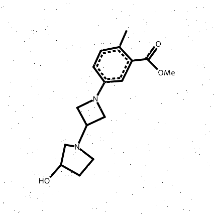 COC(=O)c1cc(N2CC(N3CCC(O)C3)C2)ccc1C